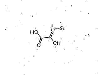 O=C(O)C(O)=[O+][S-]